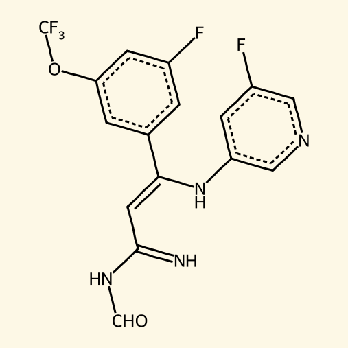 N=C(/C=C(\Nc1cncc(F)c1)c1cc(F)cc(OC(F)(F)F)c1)NC=O